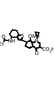 CCC(=O)NC1CCCc2sc(-c3ccc4c(=O)c(C(=O)O)cn(C5CC5)c4c3OC)cc21